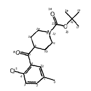 Cc1ccc(Cl)c(C(=O)C2CCN(C(=O)OC(C)(C)C)CC2)c1